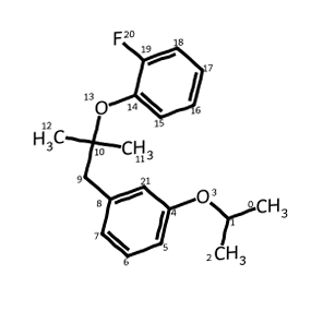 CC(C)Oc1cccc(CC(C)(C)Oc2ccccc2F)c1